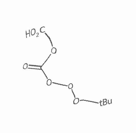 CC(C)(C)OOOC(=O)OC(=O)O